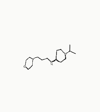 CC(C)N1CCC(NCCCN2CCOCC2)CC1